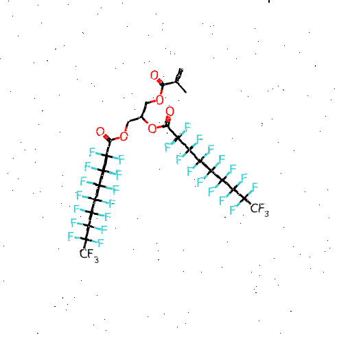 C=C(C)C(=O)OCC(COC(=O)C(F)(F)C(F)(F)C(F)(F)C(F)(F)C(F)(F)C(F)(F)C(F)(F)C(F)(F)F)OC(=O)C(F)(F)C(F)(F)C(F)(F)C(F)(F)C(F)(F)C(F)(F)C(F)(F)C(F)(F)F